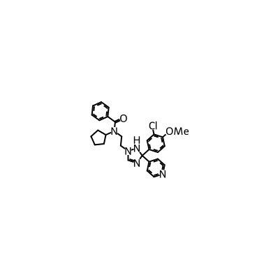 COc1ccc(C2(c3ccncc3)N=CN(CCN(C(=O)c3ccccc3)C3CCCC3)N2)cc1Cl